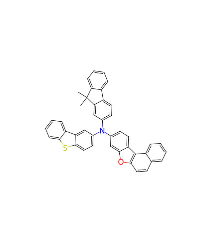 CC1(C)c2ccccc2-c2ccc(N(c3ccc4c(c3)oc3ccc5ccccc5c34)c3ccc4sc5ccccc5c4c3)cc21